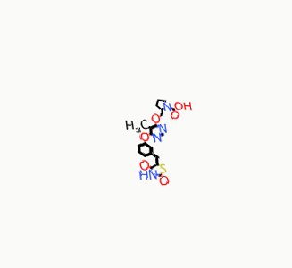 Cc1c(OCC2CCCN2C(=O)O)ncnc1Oc1cccc(C=C2SC(=O)NC2=O)c1